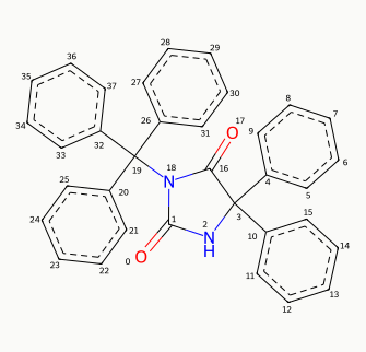 O=C1NC(c2ccccc2)(c2ccccc2)C(=O)N1C(c1ccccc1)(c1ccccc1)c1ccccc1